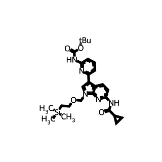 CC(C)(C)OC(=O)Nc1cccc(-c2cn(COCC[Si](C)(C)C)c3nc(NC(=O)C4CC4)ccc23)n1